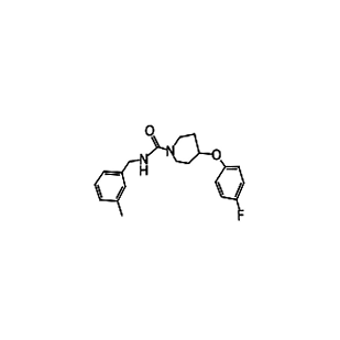 Cc1cccc(CNC(=O)N2CCC(Oc3ccc(F)cc3)CC2)c1